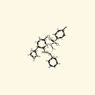 Cc1ccc(S(=O)(=O)OC[C@@H](Nc2nc(Cl)ncc2-c2nnco2)c2ccccc2)cc1